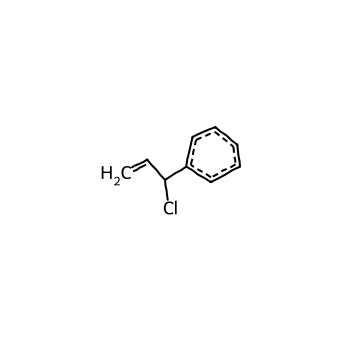 C=CC(Cl)c1ccccc1